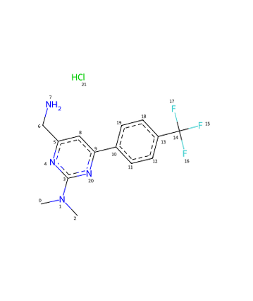 CN(C)c1nc(CN)cc(-c2ccc(C(F)(F)F)cc2)n1.Cl